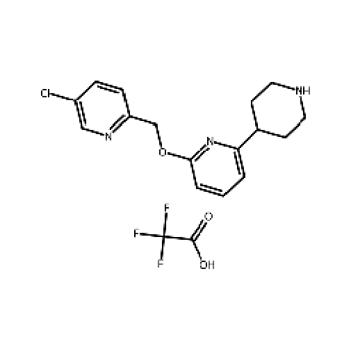 Clc1ccc(COc2cccc(C3CCNCC3)n2)nc1.O=C(O)C(F)(F)F